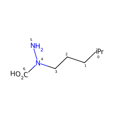 CC(C)CCCN(N)C(=O)O